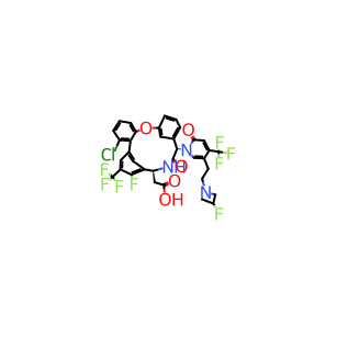 O=C(O)C[C@@H]1NC(=O)[C@@H](n2cc(CCN3CC(F)C3)c(C(F)(F)F)cc2=O)c2cccc(c2)Oc2cccc(Cl)c2-c2cc1c(F)c(C(F)(F)F)c2